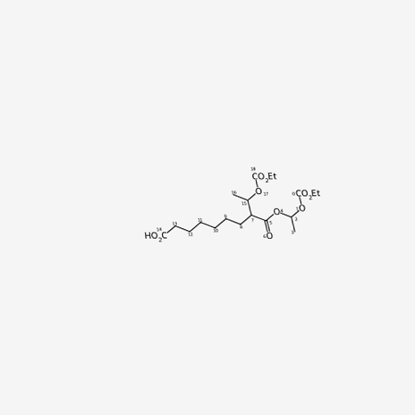 CCOC(=O)OC(C)OC(=O)C(CCCCCCC(=O)O)C(C)OC(=O)OCC